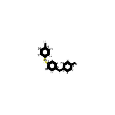 Cc1ccc(Cc2ccc(Sc3ccc(C)cc3)cc2)cc1